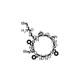 CC(C)C[C@@H]1NC(=O)[C@@H](CCCCNC(=O)[C@@H](N)CSSC(C)(C)C)NC(=O)[C@H](Cc2ccccc2)NC(=O)C(CSSC(C)(C)C)OC(=O)[C@H](Cc2ccccc2)NC(=O)[C@H](C)NC(=O)[C@H](C)N(C)C(=O)[C@H](Cc2ccccc2)N(C)C(=O)[C@H](C)NC(=O)[C@H](CC(C)C)N(C)C(=O)[C@H](C)N(C)C1=O